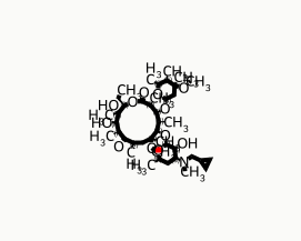 CC[C@H]1OC(=O)[C@H](C)[C@@H](O[C@H]2C[C@@](C)(OC)[C@@H](C)[C@H](C)O2)[C@H](C)[C@@H](O[C@@H]2O[C@H](C)C[C@H](N(C)CC3CC3)[C@H]2O)[C@](C)(OC)C[C@@H](C)C(=O)[C@H](C)[C@@H](O)[C@]1(C)O